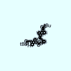 CN(Cc1c2ccccc2c(CNCC(=O)OC(C)(C)C)c2ccccc12)C(=O)COc1ccccc1OCC(=O)N(C)Cc1c2ccccc2c(CN(C)C(=O)OC(C)(C)C)c2ccccc12